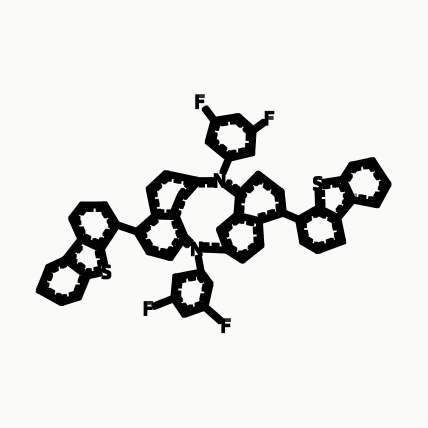 Fc1cc(F)cc(-n2c3ccc4c(-c5cccc6c5sc5ccccc56)ccc(c4c3)n(-c3cc(F)cc(F)c3)c3ccc4c(-c5cccc6c5sc5ccccc56)ccc2c4c3)c1